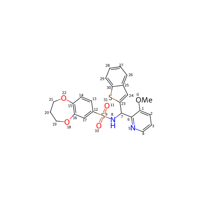 COc1cccnc1C(NS(=O)(=O)c1ccc2c(c1)OCCCO2)c1cc2ccccc2s1